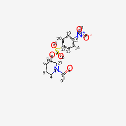 CC(=O)N1CCC[C@H](OS(=O)(=O)c2ccc([N+](=O)[O-])cc2)C1